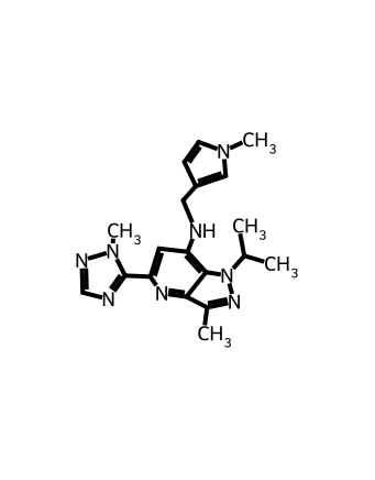 Cc1nn(C(C)C)c2c(NCc3ccn(C)c3)cc(-c3ncnn3C)nc12